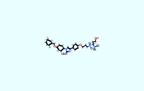 CCCCc1nc(-c2ccc(OCCC[N+](CC)(CC)C(CCO)N(CC)CC)cc2)cn1-c1ccc(OCc2cc(F)ccc2F)cc1